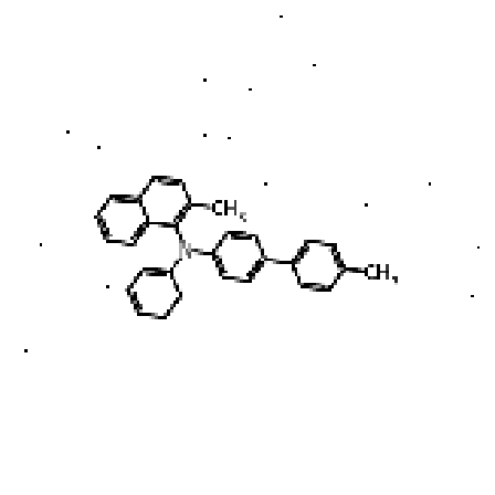 Cc1ccc(-c2ccc(N(C3=CC=CCC3)c3c(C)ccc4ccccc34)cc2)cc1